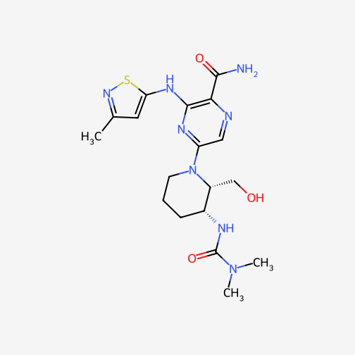 Cc1cc(Nc2nc(N3CCC[C@@H](NC(=O)N(C)C)[C@H]3CO)cnc2C(N)=O)sn1